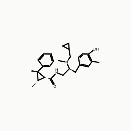 Cc1cc(C[C@@H](CNC(=O)[C@@H]2[C@H](C)[C@]2(C)c2ccccc2)N(C)CC2CC2)ccc1O